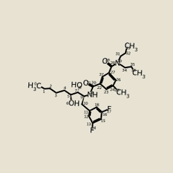 CCCCC[C@H](O)[C@H](O)[C@H](Cc1cc(F)cc(F)c1)NC(=O)c1cc(C)cc(C(=O)N(CCC)CCC)c1